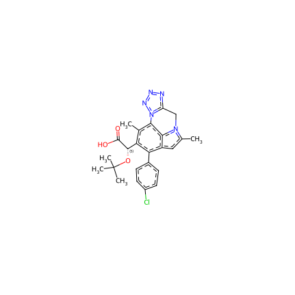 Cc1c([C@H](OC(C)(C)C)C(=O)O)c(-c2ccc(Cl)cc2)c2cc(C)n3c2c1-n1nnnc1C3